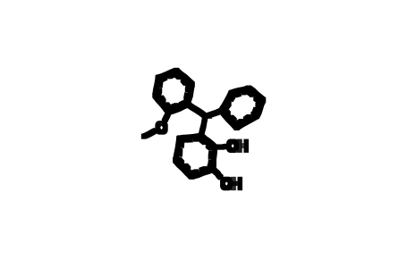 COc1ccccc1[C](c1ccccc1)c1cccc(O)c1O